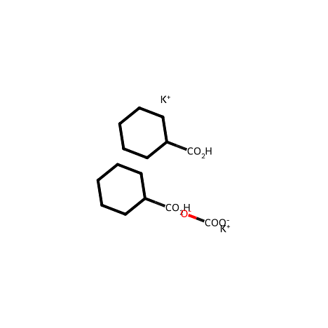 O=C(O)C1CCCCC1.O=C(O)C1CCCCC1.O=C([O-])[O-].[K+].[K+]